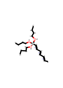 C/C=C/C=C/C=C/[Si](OCCCC)(OCCCC)OCCCC